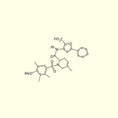 COc1c(C)cc(S(=O)(=O)N2CC(C)=CCC2C(=O)N(c2cc(-c3ccccc3)sc2C(=O)O)C(C)C)c(C)c1C